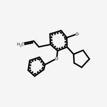 C=CCc1ccc([O])c(C2CCCC2)c1Oc1ccccc1